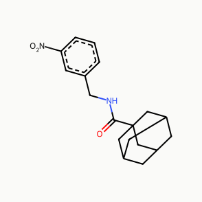 O=C(NCc1cccc([N+](=O)[O-])c1)C12CC3CC(CC(C3)C1)C2